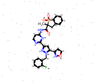 CC1(C(=O)Nc2ccnc(-c3cc(-c4ccon4)n(Cc4ccccc4F)n3)n2)Cc2ccccc2S1(=O)=O